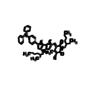 CCCCC(CC)CN1C(=O)C(=Cc2cc3c(s2)c2sc(-c4ccc(N(c5ccccc5)c5ccccc5)cc4)cc2n3CC(CC)CCCC)C(C)=C(C#N)C1=O